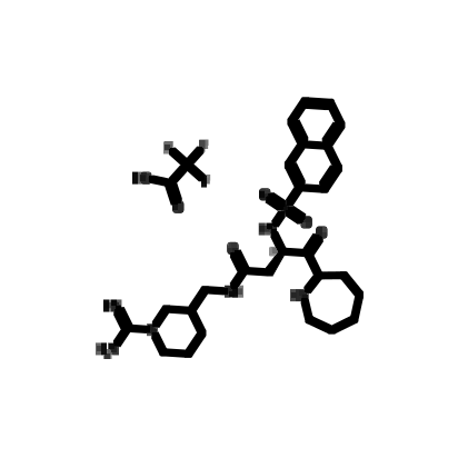 N=C(N)N1CCCC(CNC(=O)C[C@@H](NS(=O)(=O)c2ccc3ccccc3c2)C(=O)C2CCCCCN2)C1.O=C(O)C(F)(F)F